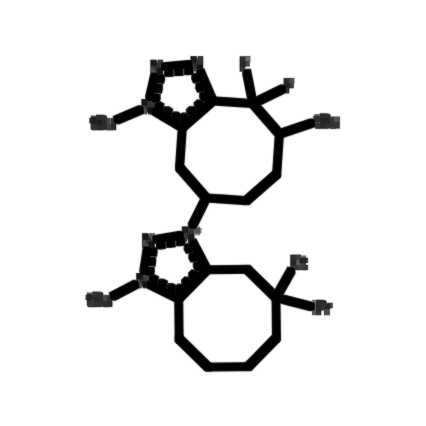 CCC1(C(C)C)CCCCc2c([n+](C3CCC(C(C)(C)C)C(F)(F)c4nnn(C(C)(C)C)c4C3)nn2C(C)(C)C)C1